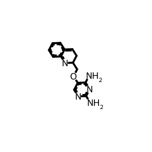 Nc1ncc(OCC2CC=c3ccccc3=N2)c(N)n1